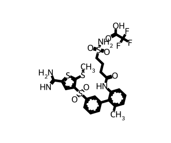 CSc1sc(C(=N)N)cc1S(=O)(=O)c1cccc(-c2c(C)cccc2NC(=O)CCCS(N)(=O)=O)c1.O=C(O)C(F)(F)F